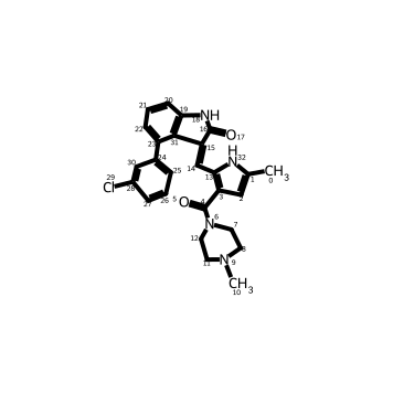 Cc1cc(C(=O)N2CCN(C)CC2)c(/C=C2\C(=O)Nc3cccc(-c4cccc(Cl)c4)c32)[nH]1